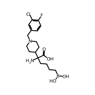 NC(CCCCB(O)O)(C(=O)O)C1CCN(Cc2ccc(F)c(Cl)c2)CC1